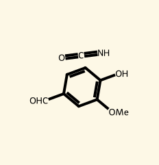 COc1cc(C=O)ccc1O.N=C=O